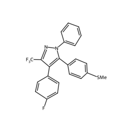 CSc1ccc(-c2c(-c3ccc(F)cc3)c(C(F)(F)F)nn2-c2ccccc2)cc1